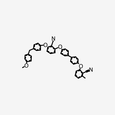 COc1ccc(Cc2ccc(Oc3cccc(Oc4ccc(-c5ccc(Oc6cccc(C)c6C#N)cc5)cc4)c3C#N)cc2)cc1